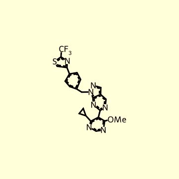 COc1ncnc(C2CC2)c1-c1ncc2cnn(Cc3ccc(-c4csc(C(F)(F)F)n4)cc3)c2n1